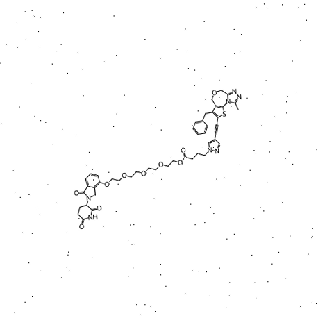 Cc1nnc2n1-c1sc(C#Cc3cnn(CCCC(=O)OCCOCCOCCOCCOc4cccc5c4CN(C4CCC(=O)NC4=O)C5=O)c3)c(Cc3ccccc3)c1COC2